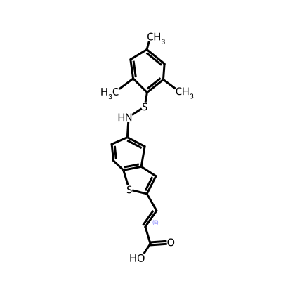 Cc1cc(C)c(SNc2ccc3sc(/C=C/C(=O)O)cc3c2)c(C)c1